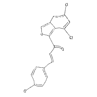 O=C(C=Cc1ccc(Cl)cc1)c1occ2cc(Cl)cc(Cl)c12